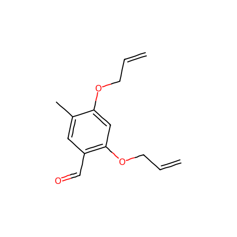 C=CCOc1cc(OCC=C)c(C=O)cc1C